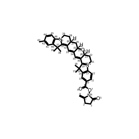 C=C1CCC(=O)N1OC(=O)c1ccc2c(c1)C(C)(C)C1=[N+]2CC[C@H]2O[C@H]3C[C@H]4CCN5C(=C4C=C3C=C12)C(C)(C)c1cc(C)ccc15